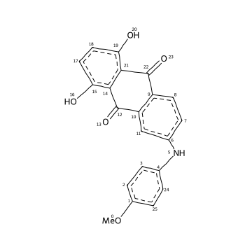 COc1ccc(Nc2ccc3c(c2)C(=O)c2c(O)ccc(O)c2C3=O)cc1